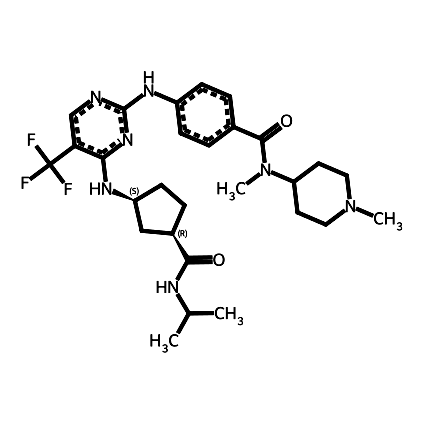 CC(C)NC(=O)[C@@H]1CC[C@H](Nc2nc(Nc3ccc(C(=O)N(C)C4CCN(C)CC4)cc3)ncc2C(F)(F)F)C1